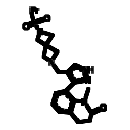 CC(C)S(=O)(=O)N1CC2(CN(Cc3c[nH]nc3-c3cccc4c3N(C)C(=O)CC4)C2)C1